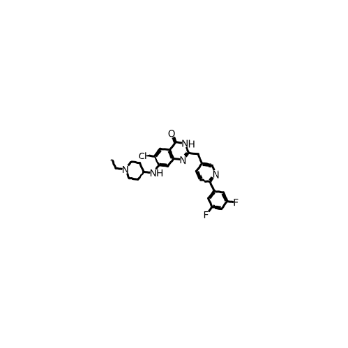 CCN1CCC(Nc2cc3nc(Cc4ccc(-c5cc(F)cc(F)c5)nc4)[nH]c(=O)c3cc2Cl)CC1